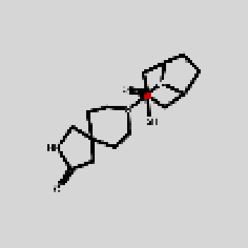 O=C1CC2(CCN(C3CC4CCC(C3)N4C(=O)S)CC2)CN1